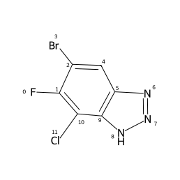 Fc1c(Br)cc2nn[nH]c2c1Cl